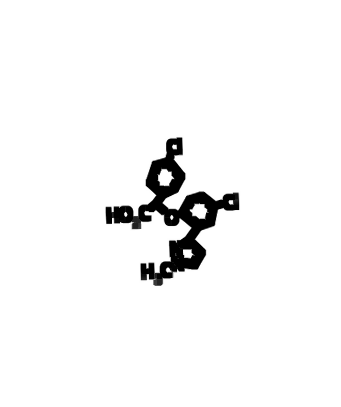 Cn1ccc(-c2cc(Cl)ccc2OC(C(=O)O)c2ccc(Cl)cc2)n1